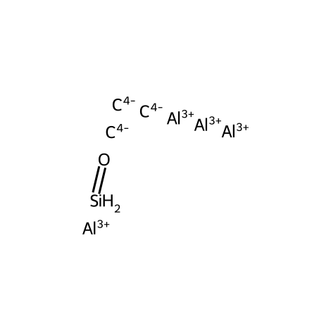 O=[SiH2].[Al+3].[Al+3].[Al+3].[Al+3].[C-4].[C-4].[C-4]